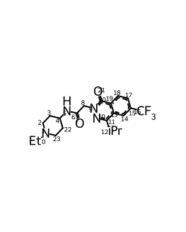 CCN1CCC(NC(=O)Cn2nc(C(C)C)c3cc(C(F)(F)F)ccc3c2=O)CC1